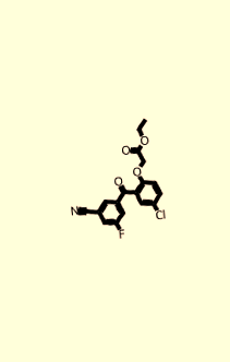 CCOC(=O)COc1ccc(Cl)cc1C(=O)c1cc(F)cc(C#N)c1